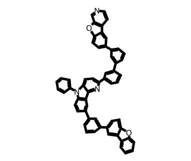 c1ccc(-n2c3ccc(-c4cccc(-c5ccc6oc7ccccc7c6c5)c4)cc3c3nc(-c4cccc(-c5cccc(-c6ccc7oc8cnccc8c7c6)c5)c4)ccc32)cc1